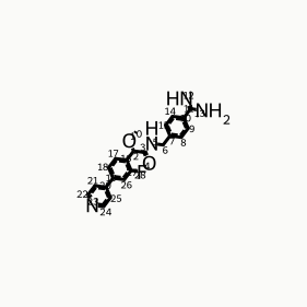 COC(C(=O)NCc1ccc(C(=N)N)cc1)c1ccc(-c2ccncc2)cc1F